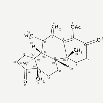 C=C1C2=C(OC(C)=O)C(=O)CC[C@]2(C)[C@@H]2CC[C@]3(C)C(=O)CC[C@H]3[C@@H]2C1C